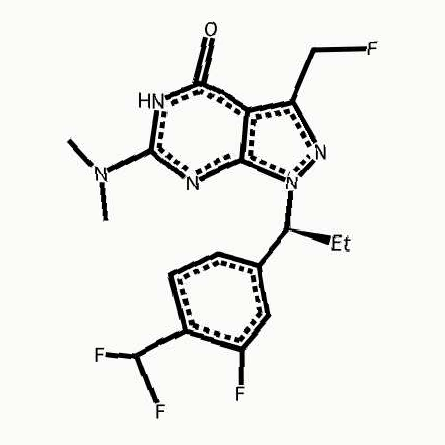 CC[C@@H](c1ccc(C(F)F)c(F)c1)n1nc(CF)c2c(=O)[nH]c(N(C)C)nc21